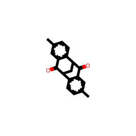 Cc1ccc2c(c1)C(=O)C1CC2C(=O)c2cc(C)ccc21